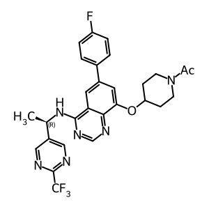 CC(=O)N1CCC(Oc2cc(-c3ccc(F)cc3)cc3c(N[C@H](C)c4cnc(C(F)(F)F)nc4)ncnc23)CC1